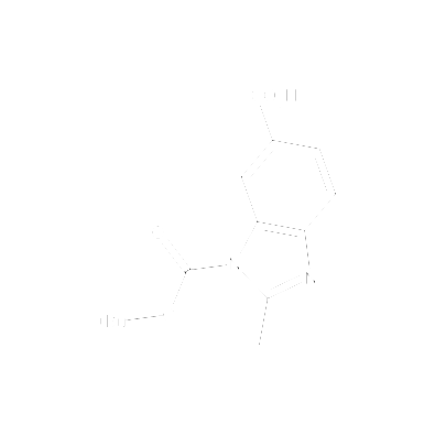 Cc1nc2ccc(C(=O)O)cc2n1C(=O)OC(C)(C)C